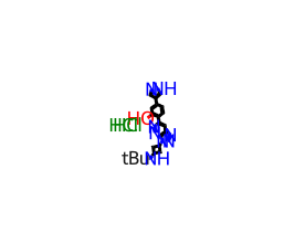 CC(C)(C)NC1CC(n2nnc3cc(-c4ccc(-c5cn[nH]c5)cc4O)nnc32)C1.Cl.Cl